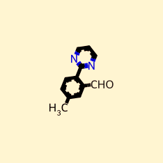 Cc1ccc(-c2ncccn2)c(C=O)c1